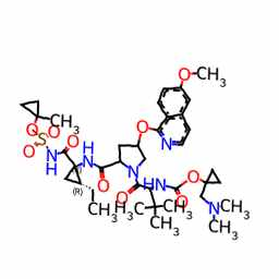 CC[C@@H]1C[C@]1(NC(=O)C1CC(Oc2nccc3cc(OC)ccc23)CN1C(=O)C(NC(=O)OC1(CN(C)C)CC1)C(C)(C)C)C(=O)NS(=O)(=O)OC1(C)CC1